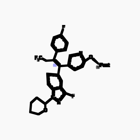 CCC[C@H](C)Oc1ccc(/C(=C(/CC(F)(F)F)c2ccc(F)cc2)c2ccc3c(c2)c(F)nn3C2CCCCO2)cn1